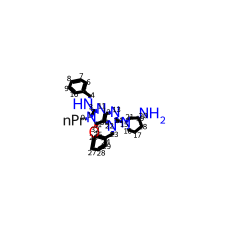 CCCn1c(NCc2ccccc2)nc2nc(N3CCCC(N)C3)n(Cc3ccccc3)c2c1=O